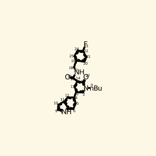 CCCCn1cc(-c2ccc3[nH]ccc3c2)cc(C(=O)NCc2ccc(F)cc2)c1=O